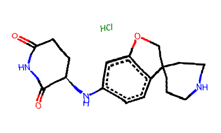 Cl.O=C1CC[C@@H](Nc2ccc3c(c2)OCC32CCNCC2)C(=O)N1